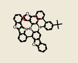 CC(C)(C)c1ccc(N2c3cc4c(oc5ccccc54)c4c3B(c3c2ccc2oc5ccccc5c32)n2c3c-4cccc3c3oc4ccccc4c32)c(-c2ccccc2)c1